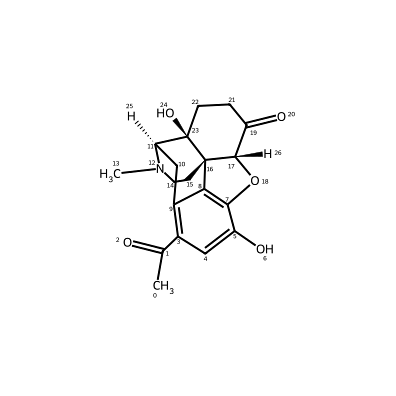 CC(=O)c1cc(O)c2c3c1C[C@H]1N(C)CC[C@@]34[C@@H](O2)C(=O)CC[C@@]14O